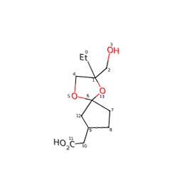 CCC1(CO)COC2(CCC(CC(=O)O)C2)O1